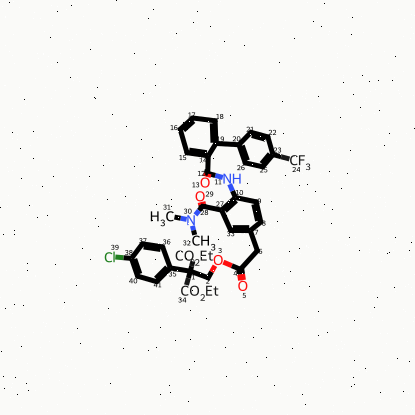 CCOC(=O)C(COC(=O)Cc1ccc(NC(=O)c2ccccc2-c2ccc(C(F)(F)F)cc2)c(C(=O)N(C)C)c1)(C(=O)OCC)c1ccc(Cl)cc1